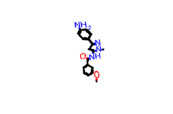 COc1cccc(C(=O)Nc2cc(-c3ccc(N)cc3)nn2C)c1